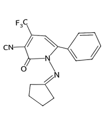 [C-]#[N+]c1c(C(F)(F)F)cc(-c2ccccc2)n(N=C2CCCC2)c1=O